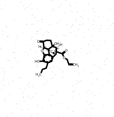 C=CCOC(=O)N1CC[C@]23c4c5cc(CCC)c(O)c4O[C@H]2C(=O)CCC3(O)[C@H]1C5